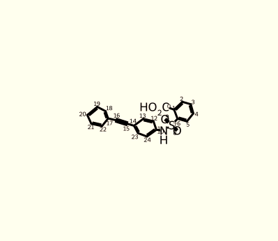 O=C(O)c1ccccc1S(=O)(=O)Nc1ccc(C#Cc2ccccc2)cc1